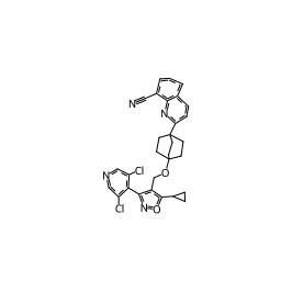 N#Cc1cccc2ccc(C34CCC(OCc5c(-c6c(Cl)cncc6Cl)noc5C5CC5)(CC3)CC4)nc12